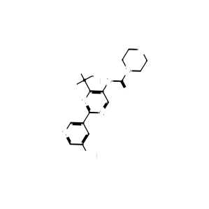 Cc1cncc(-c2ncc(NC(=O)N3CCOCC3)c(C(F)(F)F)n2)c1